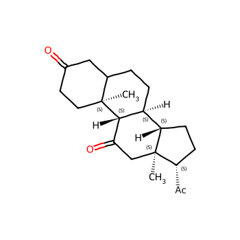 CC(=O)[C@H]1CC[C@H]2[C@@H]3CCC4CC(=O)CC[C@]4(C)[C@H]3C(=O)C[C@]12C